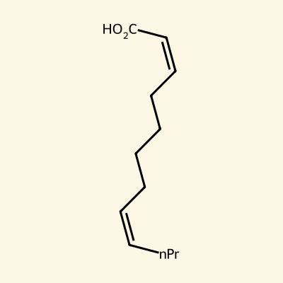 CCC/C=C\CCCC/C=C\C(=O)O